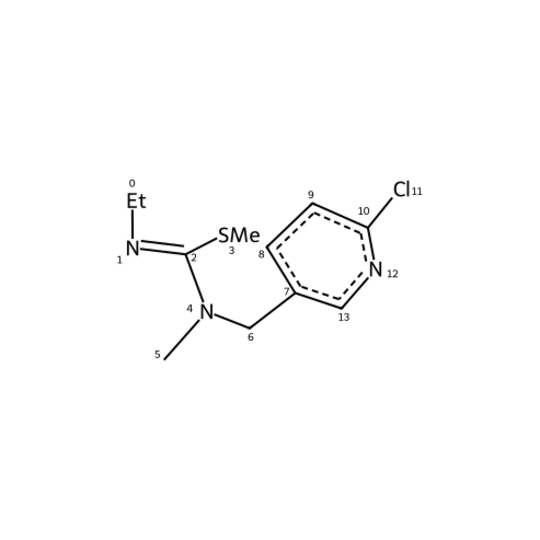 CC/N=C(\SC)N(C)Cc1ccc(Cl)nc1